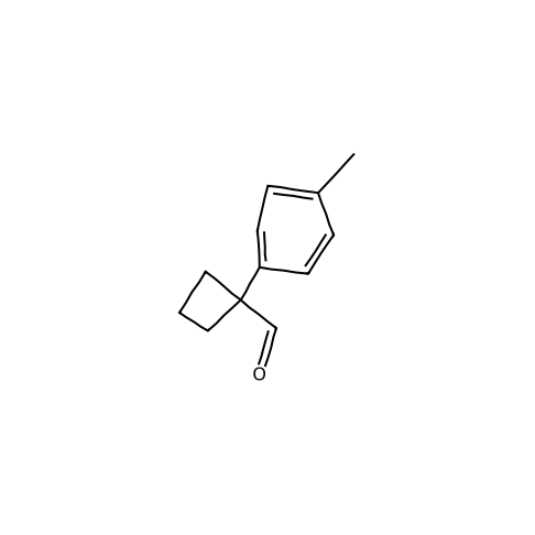 Cc1ccc(C2(C=O)CCC2)cc1